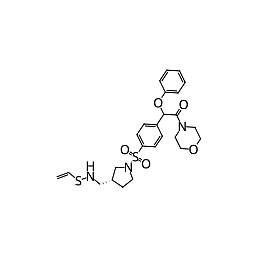 C=CSNC[C@H]1CCN(S(=O)(=O)c2ccc(C(Oc3ccccc3)C(=O)N3CCOCC3)cc2)C1